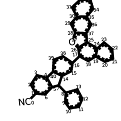 N#Cc1ccc2c(c1)C(c1ccccc1)c1cc(-c3cc4ccccc4c4c3oc3cc5ccccc5cc34)ccc1-2